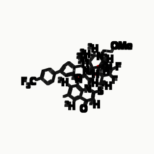 [2H]c1c(C)c([2H])c2c(=O)c([2H])c(SC([2H])([2H])c3cccc(F)c3F)n(CC(=O)N(Cc3ccc(-c4ccc(C(F)(F)F)cc4)cc3)C3([2H])C([2H])([2H])C([2H])([2H])N(CCOC)C([2H])([2H])C3([2H])[2H])c2c1[2H]